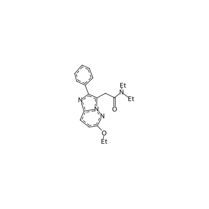 CCOc1ccc2nc(-c3ccccc3)c(CC(=O)N(CC)CC)n2n1